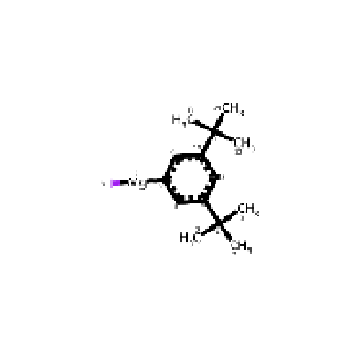 CC(C)(C)c1c[c]([Mg][I])cc(C(C)(C)C)c1